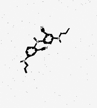 CCCN(C)c1ccc(N(C)c2ccc(N(C)CCC)cc2C#N)c(C#N)c1